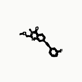 COCc1nc2cc(C#Cc3cccc(F)c3)ccc2c(=O)n1C